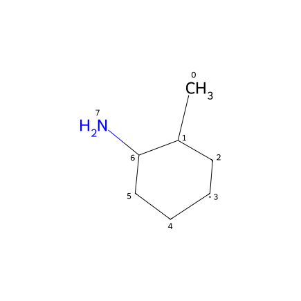 CC1C[CH]CCC1N